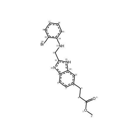 COC(=O)CCc1ccc2nc(CNc3ccccc3Br)[nH]c2c1